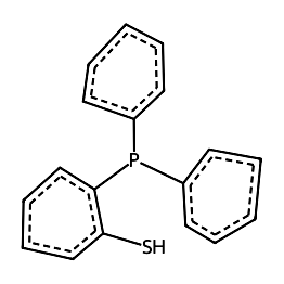 Sc1ccccc1P(c1ccccc1)c1ccccc1